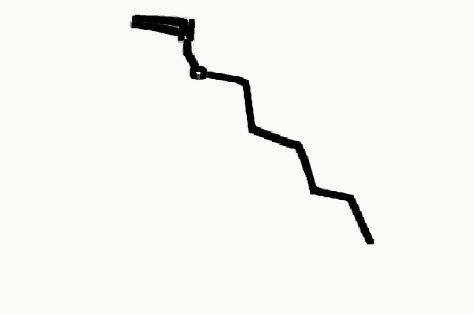 C=NOCCCCCC